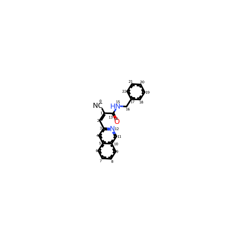 N#CC(=Cc1cc2ccccc2cn1)C(=O)NCc1ccccc1